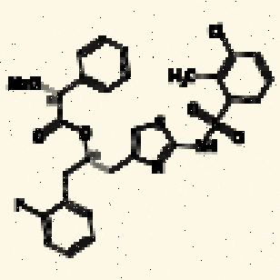 CO[C@@H](C(=O)O[C@H](Cc1csc(NS(=O)(=O)c2cccc(Cl)c2C)n1)Cc1ccccc1F)c1ccccc1